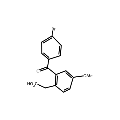 COc1ccc(CC(=O)O)c(C(=O)c2ccc(Br)cc2)c1